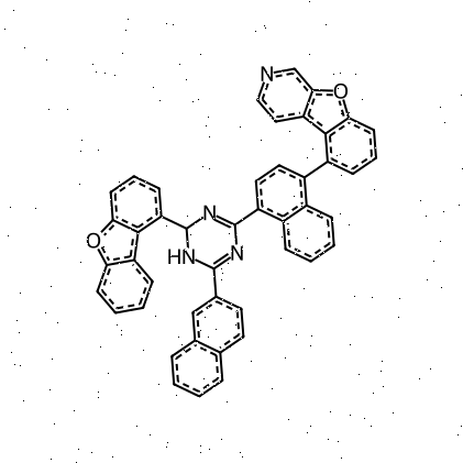 c1ccc2cc(C3=NC(c4ccc(-c5cccc6oc7cnccc7c56)c5ccccc45)=NC(c4cccc5oc6ccccc6c45)N3)ccc2c1